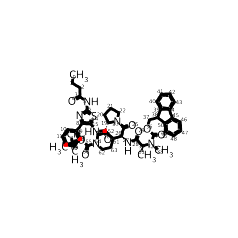 CCCC(=O)Nc1nc(-c2ccccc2)c(NC(=O)[C@@H]2CCCN2C(=O)[C@@H](NC(=O)[C@H](C)N(C)C(=O)OCC2c3ccccc3-c3ccccc32)C2CCN(C(=O)OC(C)(C)C)CC2)s1